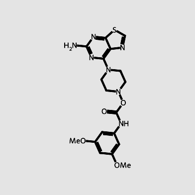 COc1cc(NC(=O)ON2CCN(c3nc(N)nc4scnc34)CC2)cc(OC)c1